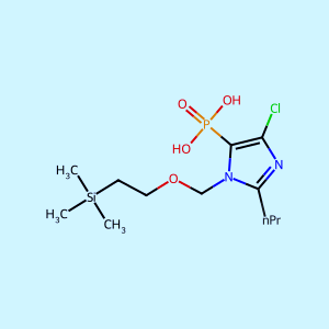 CCCc1nc(Cl)c(P(=O)(O)O)n1COCC[Si](C)(C)C